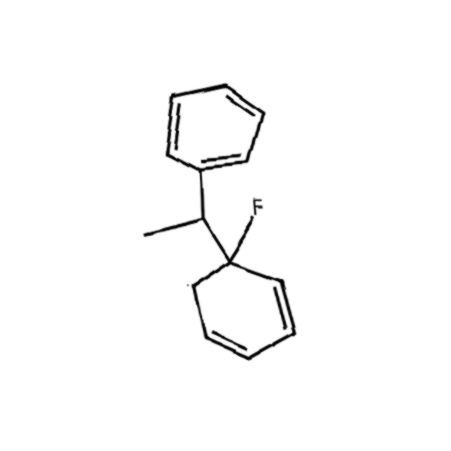 CC(c1ccccc1)C1(F)[CH]C=CC=C1